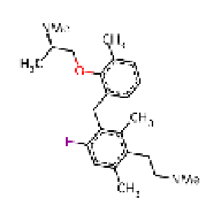 CNCCc1c(C)cc(I)c(Cc2cccc(C)c2OC[C@@H](C)NC)c1C